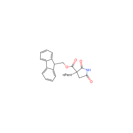 CCCCCC1(C(=O)OCC2c3ccccc3-c3ccccc32)CC(=O)NC1=O